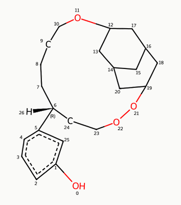 Oc1cccc([C@@H]2CCCCOC3CC4CC(C3)CC(C4)OOCC2)c1